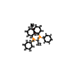 CCC(P(c1ccccc1)c1ccccc1)P(c1ccccc1)c1ccccc1.[Ni]